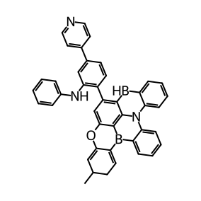 CC1C=C2Oc3cc(-c4ccc(-c5ccncc5)cc4Nc4ccccc4)c4c5c3B(C2=CC1)c1ccccc1N5c1ccccc1B4